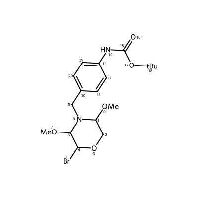 COC1COC(Br)C(OC)N1Cc1ccc(NC(=O)OC(C)(C)C)cc1